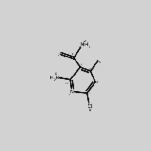 C=C(N)c1c(C)cc(Cl)nc1N